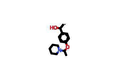 [CH2]C(O)c1ccc(OC(C)N2CCCCC2)cc1